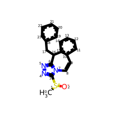 C[S+]([O-])c1nnc2n1C=Cc1ccccc1C2Cc1ccccc1